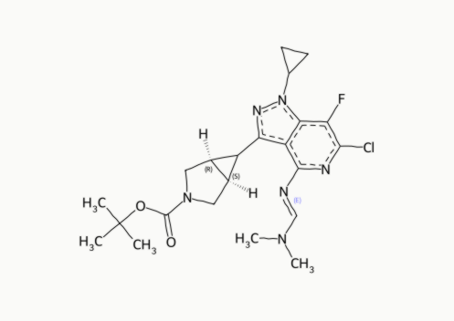 CN(C)/C=N/c1nc(Cl)c(F)c2c1c(C1[C@H]3CN(C(=O)OC(C)(C)C)C[C@@H]13)nn2C1CC1